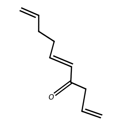 C=CCCC=CC(=O)CC=C